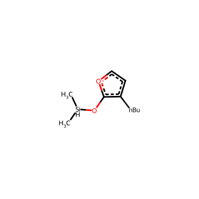 CCCCc1ccoc1O[SiH](C)C